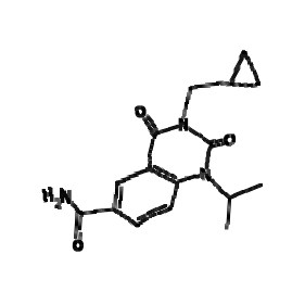 CC(C)n1c(=O)n(CC2CC2)c(=O)c2cc(C(N)=O)ccc21